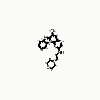 N#Cc1cc2ncc(NCCN3CCOCC3)nc2n2c1nc1ccccc12